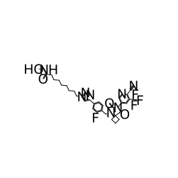 N#Cc1ncc(N2C(=O)N(Cc3ccc(-c4cn(CCCCCCCCC(=O)NO)nn4)cc3F)C3(CCC3)C2=O)cc1C(F)(F)F